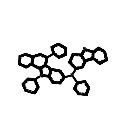 c1ccc(-c2cc3ccccc3c3c2c2cc(N(c4ccccc4)c4ccc5sc6ccccc6c5c4)ccc2n3-c2ccccc2)cc1